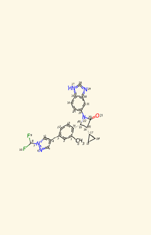 Cc1cc(-c2cnn(C(F)F)c2)ccc1[C@H]1[C@@H](C2CC2)C(=O)N1c1ccc2[nH]cnc2c1